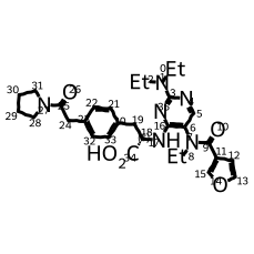 CCN(CC)c1ncc(N(CC)C(=O)c2ccoc2)c(N[C@@H](Cc2ccc(CC(=O)N3CCCC3)cc2)C(=O)O)n1